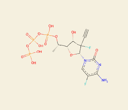 C#CC1(F)[C@@H](O)[C@@H]([C@H](C)OP(=O)(O)OP(=O)(O)OP(=O)(O)O)O[C@H]1n1cc(F)c(N)nc1=O